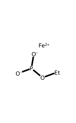 CCOP([O-])[O-].[Fe+2]